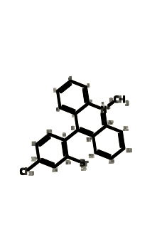 C[n+]1c2ccccc2c(-c2ccc(Cl)cc2Br)c2ccccc21